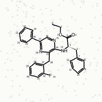 CCOC(=O)[C@H](Cc1ccccc1)Nc1ncc(-c2ccccc2)nc1Cc1ccccc1F